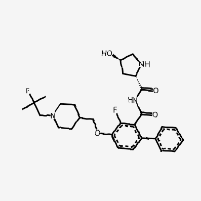 CC(C)(F)CN1CCC(COc2ccc(-c3ccccc3)c(C(=O)NC(=O)[C@@H]3C[C@@H](O)CN3)c2F)CC1